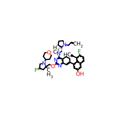 C#Cc1c(F)ccc2cc(O)cc(C3=Cc4nc(OC[C@]5(C)C[C@@H](F)CN5C5CCOCC5)nc(N(C)C[C@@H]5CCCN5CC=C)c4CC3)c12